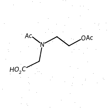 CC(=O)OCCN(CC(=O)O)C(C)=O